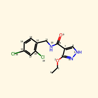 CCOc1n[nH]cc1C(=O)NCc1ccc(Cl)cc1Cl